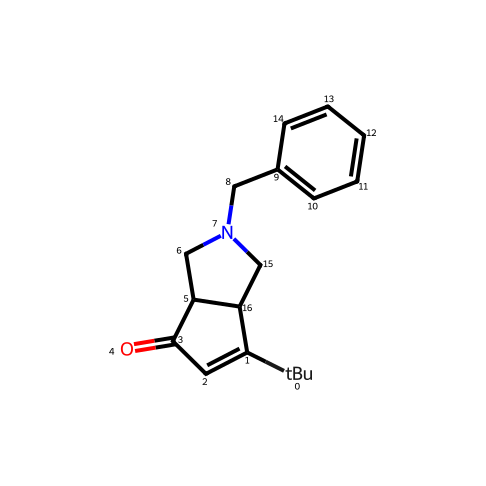 CC(C)(C)C1=CC(=O)C2CN(Cc3ccccc3)CC12